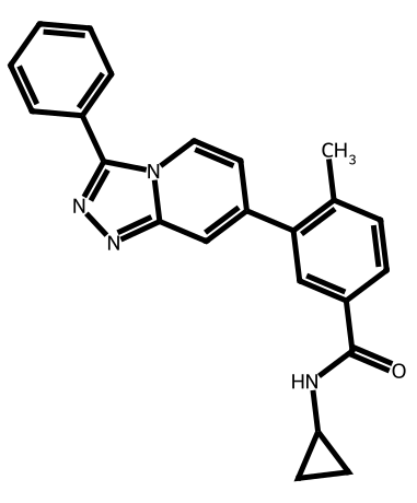 Cc1ccc(C(=O)NC2CC2)cc1-c1ccn2c(-c3ccccc3)nnc2c1